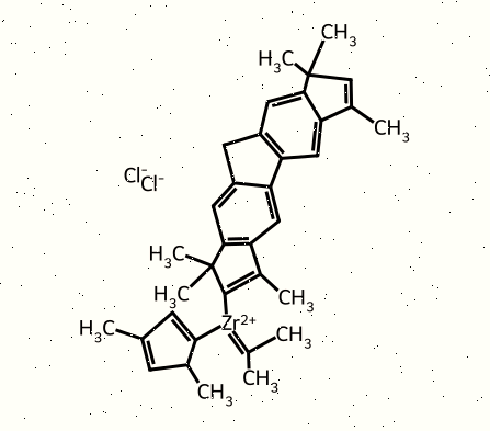 CC1=CC(C)[C]([Zr+2]([C]2=C(C)c3cc4c(cc3C2(C)C)Cc2cc3c(cc2-4)C(C)=CC3(C)C)=[C](C)C)=C1.[Cl-].[Cl-]